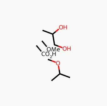 CC(=O)O.CC(O)CO.COC.COC(C)C